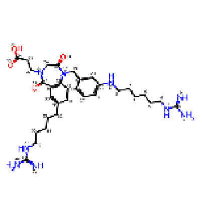 N=C(N)NCCCCCCNc1cccc(CN2C(=O)CN(CCC(=O)O)C(=O)c3cc(CCCCCNC(=N)N)ccc32)c1